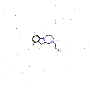 CC(=O)CCN1CCCN2c3cccc(C)c3CC2C1